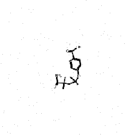 CC(C)(CC(C)(C)C(N)=O)Oc1ccc(C(=O)O)cc1